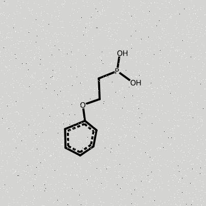 OP(O)CCOc1ccccc1